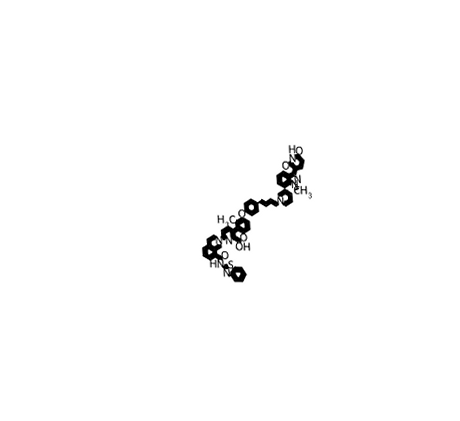 Cc1c(O[C@H]2CC[C@H](CCCCN3CCC[C@@H](c4cccc5c(C6CCC(=O)NC6=O)nn(C)c45)C3)CC2)cccc1-c1ccc(N2CCc3cccc(C(=O)Nc4nc5ccccc5s4)c3C2)nc1C(=O)O